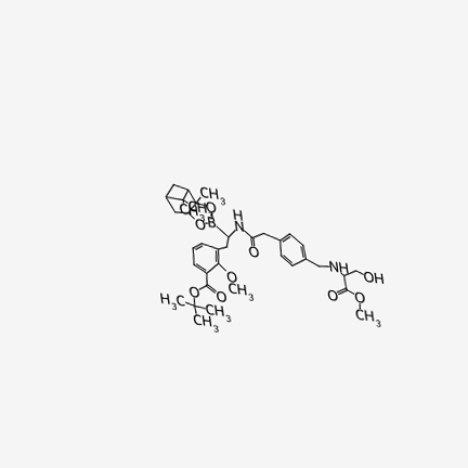 COC(=O)C(CO)NCc1ccc(CC(=O)NC(Cc2cccc(C(=O)OC(C)(C)C)c2OC)B2OC3CC4CC(C4(C)C)C3(C)O2)cc1